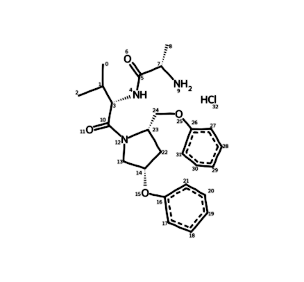 CC(C)[C@H](NC(=O)[C@H](C)N)C(=O)N1C[C@@H](Oc2ccccc2)C[C@H]1COc1ccccc1.Cl